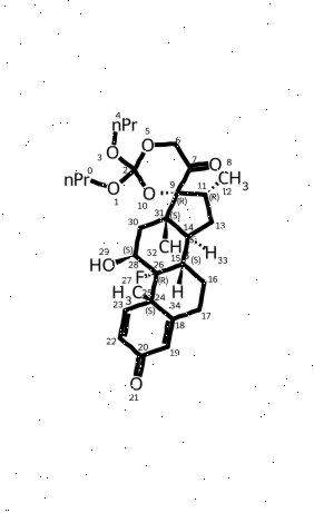 CCCOC1(OCCC)OCC(=O)[C@@]2(O1)[C@H](C)C[C@H]1[C@@H]3CCC4=CC(=O)C=C[C@]4(C)[C@@]3(F)[C@@H](O)C[C@@]12C